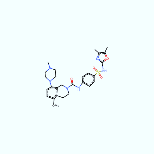 COc1ccc(N2CCN(C)CC2)c2c1CCN(C(=O)Nc1ccc(S(=O)(=O)Nc3nc(C)c(C)o3)cc1)C2